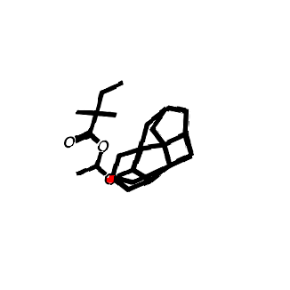 CCC(C)(C)C(=O)OC(C)OC12CC3CC4C5CC6CC1C5C4(C3)C2C6